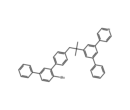 CC(C)(C)c1ccc(-c2ccccc2)cc1-c1ccc(CC(C)(C)c2cc(-c3ccccc3)cc(-c3ccncc3)c2)cc1